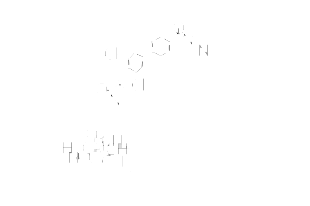 CC(C)(C)[Si](C)(C)O[C@H]1CC[C@@H](N2CC[C@@H](Cc3c(Cl)cc(-c4ccc(C(=O)N5CCN(CCF)CC5)cc4)cc3Cl)C2=O)CC1